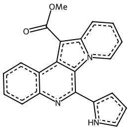 COC(=O)c1c2c3ccccc3nc(-c3ccc[nH]3)c2n2ccccc12